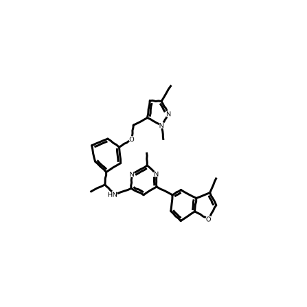 Cc1cc(COc2cccc(C(C)Nc3cc(-c4ccc5occ(C)c5c4)nc(C)n3)c2)n(C)n1